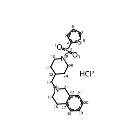 Cl.O=S(=O)(c1cccs1)N1CCC(CN2CCc3ccccc3C2)CC1